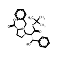 CC(C)(C)OC(=O)[C@H](C(O)c1ccccc1)[C@H]1CC[C@@H](C(=O)O)N1Cc1ccccc1